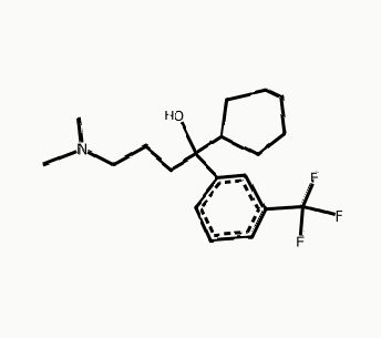 CN(C)CCCC(O)(c1cccc(C(F)(F)F)c1)C1CCCCC1